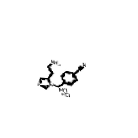 Cl.Cl.N#Cc1ccc(Cn2cncc2CCN)cc1